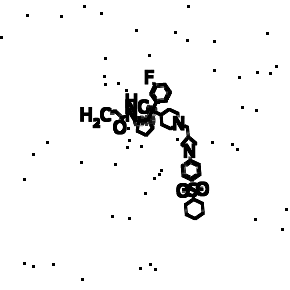 C=CC(=O)N[C@H]1CCC[C@@H]1[C@](C#N)(c1cccc(F)c1)C1CCN(CC2CN(c3ccc(S(=O)(=O)C4CCCCC4)cc3)C2)CC1